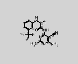 C[C@H](Nc1cccc(C(F)(F)F)c1)C(=O)Nc1nc(N)nc(N)c1C#N